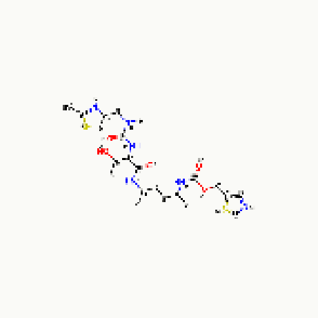 CC(CCC(C)NC(=O)C(NC(=O)N(C)CC1CSC(C(C)C)=N1)C(C)O)NC(=O)OCc1cncs1